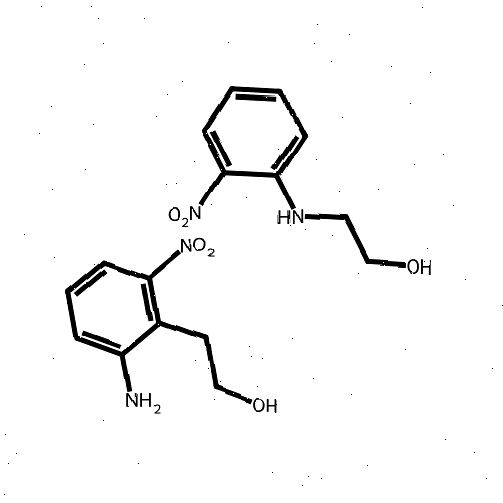 Nc1cccc([N+](=O)[O-])c1CCO.O=[N+]([O-])c1ccccc1NCCO